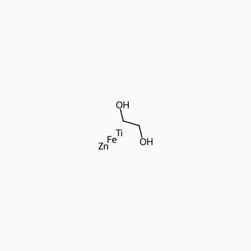 OCCO.[Fe].[Ti].[Zn]